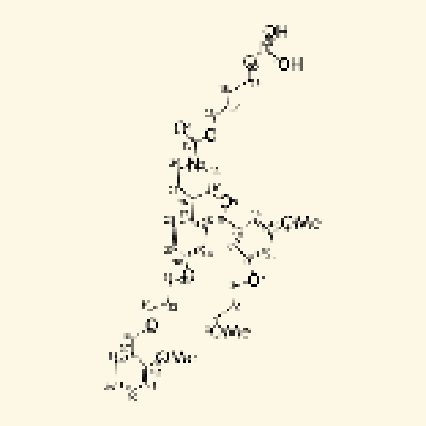 COCCCOc1cc(COC2CN(C(=O)OCCCCON(O)O)CC[C@@H]2c2ccc(OCCCOCc3ccccc3OC)cc2)cc(OC)c1